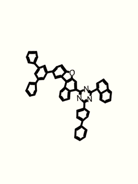 c1ccc(-c2ccc(-c3nc(-c4cccc5ccccc45)nc(-c4cc5oc6ccc(-c7cc(-c8ccccc8)cc(-c8ccccc8)c7)cc6c5c5ccccc45)n3)cc2)cc1